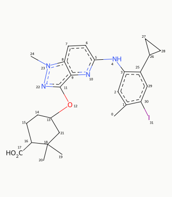 Cc1cc(Nc2ccc3c(n2)c(OC2CCC(C(=O)O)C(C)(C)C2)nn3C)c(C2CC2)cc1I